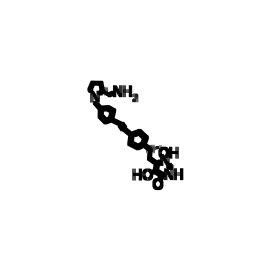 NC[C@@H]1CCCN1Cc1ccc(C#Cc2ccc([C@H](CO)Cc3nc[nH]c(=O)c3O)cc2)cc1